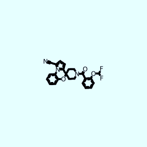 N#Cc1ccc2n1-c1ccccc1OC21CCN(C(=O)c2ccccc2OC(F)F)CC1